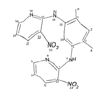 Cc1cc(C)c(Nc2ncccc2[N+](=O)[O-])cc1Nc1ncccc1[N+](=O)[O-]